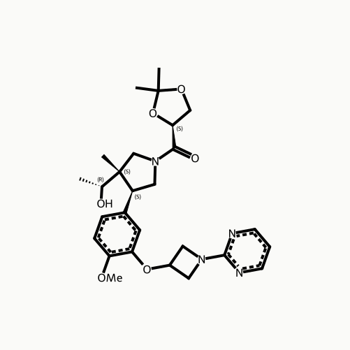 COc1ccc([C@@H]2CN(C(=O)[C@@H]3COC(C)(C)O3)C[C@@]2(C)[C@@H](C)O)cc1OC1CN(c2ncccn2)C1